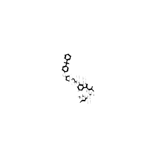 Cc1cnc(Nc2cc(C)n(C)n2)nc1-c1c[nH]c2c(NC(=O)CN3CC[C@H](Oc4ccc(C(C)(C)c5ccccc5)cc4)C3)cccc12